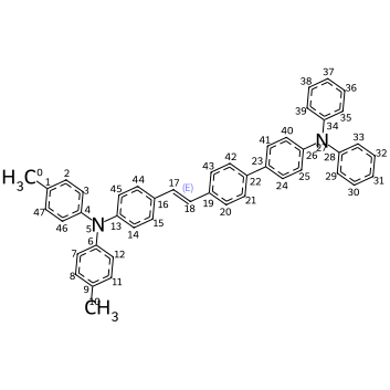 Cc1ccc(N(c2ccc(C)cc2)c2ccc(/C=C/c3ccc(-c4ccc(N(c5ccccc5)c5ccccc5)cc4)cc3)cc2)cc1